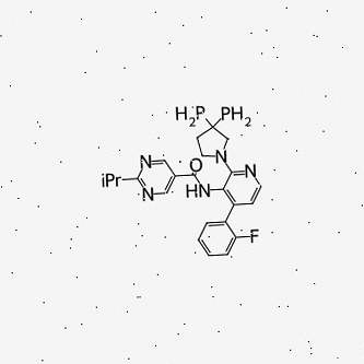 CC(C)c1ncc(C(=O)Nc2c(-c3ccccc3F)ccnc2N2CCC(P)(P)C2)cn1